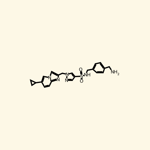 NCc1ccc(CNS(=O)(=O)c2cnn(Cc3cn4cc(C5CC5)ccc4n3)c2)cc1